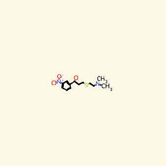 CN(C)CCSCCC(=O)c1cccc([N+](=O)[O-])c1